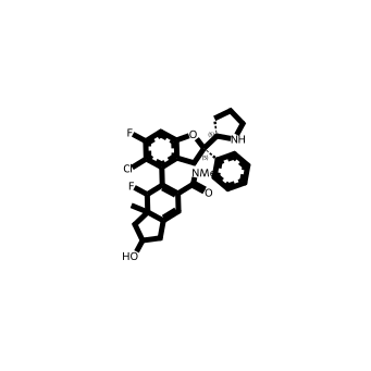 CNC(=O)C1=C(c2c(Cl)c(F)cc3c2C[C@](c2ccccc2)([C@@H]2CCCN2)O3)C(F)C2(C)CC(O)CC2=C1